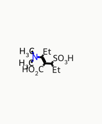 CC/C(=C(/C(=O)O)C(CC)S(=O)(=O)O)N(C)C